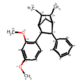 COc1ccc(C2C3CC(C(C)C3C)C2c2ccccc2)c(OC)c1